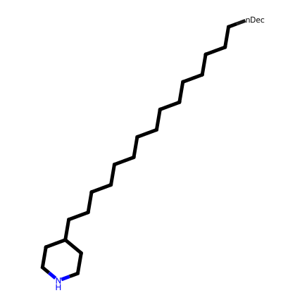 [CH2]CCCCCCCCCCCCCCCCCCCCCCCCC1CCNCC1